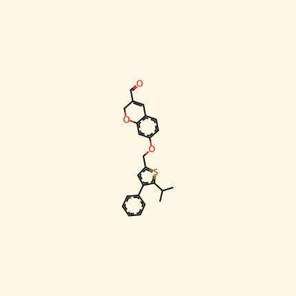 CC(C)c1sc(COc2ccc3c(c2)OCC(C=O)=C3)cc1-c1ccccc1